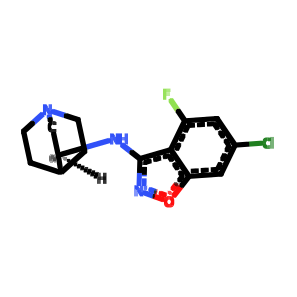 Fc1cc(Cl)cc2onc(N[C@@H]3CN4CCC3CC4)c12